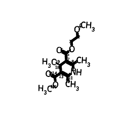 COCCOC(=O)C1=C(C)NC(C)=C(C(=O)OC)[C@H]1C